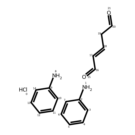 Cl.Nc1ccccc1.Nc1ccccc1.O=CC=CCC=O